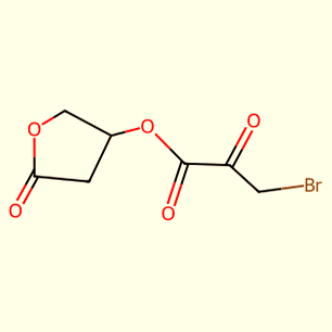 O=C1CC(OC(=O)C(=O)CBr)CO1